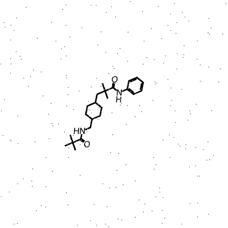 CC(C)(C)C(=O)NCC1CCC(CC(C)(C)C(=O)Nc2ccccc2)CC1